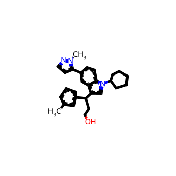 Cc1cccc(C(CCO)c2cn(C3CCCCC3)c3ccc(-c4ccnn4C)cc23)c1